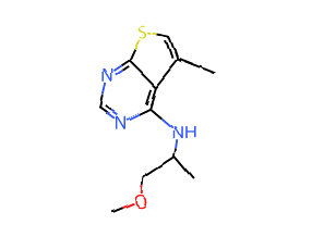 COCC(C)Nc1ncnc2scc(C)c12